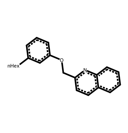 CCCCCCc1cccc(OCc2ccc3ccccc3n2)c1